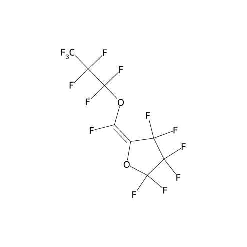 FC(OC(F)(F)C(F)(F)C(F)(F)F)=C1OC(F)(F)C(F)(F)C1(F)F